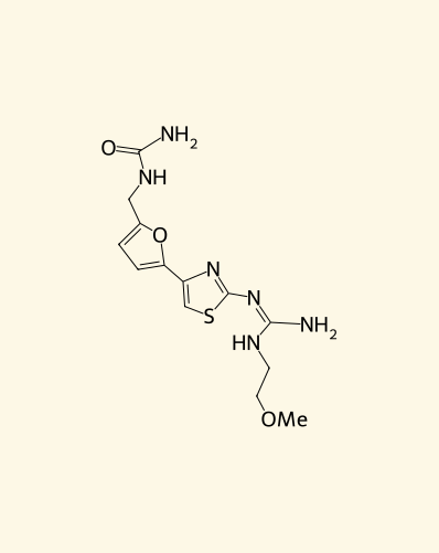 COCCNC(N)=Nc1nc(-c2ccc(CNC(N)=O)o2)cs1